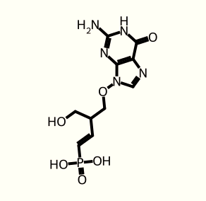 Nc1nc2c(ncn2OCC(C=CP(=O)(O)O)CO)c(=O)[nH]1